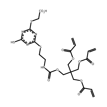 C=CC(=O)OCC(COC(=O)C=C)(COC(=O)C=C)COC(=O)NCCSc1nc(S)nc(SCC(=O)O)n1